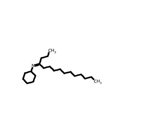 CCCCCCCCCCCC(CCC)=NC1CCCCC1